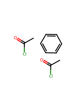 CC(=O)Cl.CC(=O)Cl.c1ccccc1